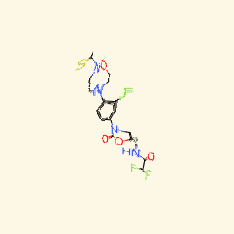 CC(=S)N1CCN(c2ccc(N3C[C@H](CNC(=O)C(F)F)OC3=O)cc2F)CCO1